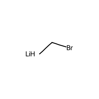 CCBr.[LiH]